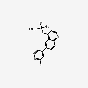 CCOC(=O)C(CC)(CC)Sc1ccnc2ccc(-c3ccnc(F)c3)cc12